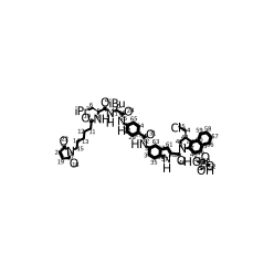 CCC(C)[C@H](NC(=O)[C@H](CC(C)C)NC(=O)CCCCCN1C(=O)C=CC1=O)C(=O)Nc1ccc(C(=O)Nc2ccc3[nH]c(C(=O)N4C[C@@H](CCl)c5c4cc(OP(=O)(O)O)c4ccccc54)cc3c2)cc1